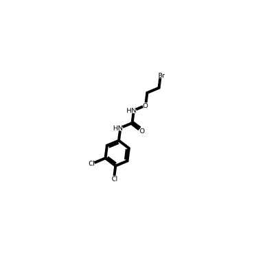 O=C(NOCCBr)Nc1ccc(Cl)c(Cl)c1